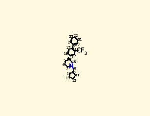 FC(F)(F)c1cc([C@H]2CCCN(CC3CCCC3)C2)ccc1-c1ccccc1